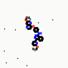 COc1cnc2c(Oc3ccc(Nc4nnc(-c5cccc(OC)n5)c5ccccc45)cc3)ccnc2c1